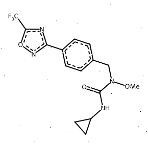 CON(Cc1ccc(-c2noc(C(F)(F)F)n2)cc1)C(=O)NC1CC1